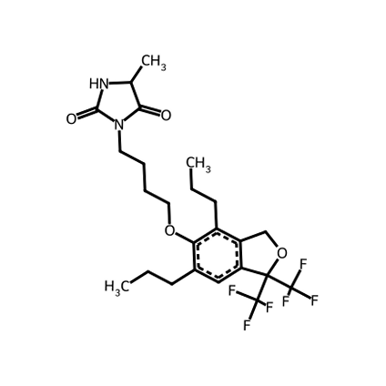 CCCc1cc2c(c(CCC)c1OCCCCN1C(=O)NC(C)C1=O)COC2(C(F)(F)F)C(F)(F)F